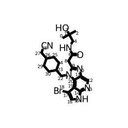 CC(C)(O)CNC(=O)Cc1nc2cnc3[nH]cc(Br)c3c2n1CC1CCC(CC#N)CC1